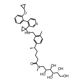 Cc1ccc([C@H](C)CCCC(=O)N(C)C[C@H](O)[C@@H](O)[C@H](O)[C@H](O)CO)cc1CNC1(c2cnccc2-c2ccccc2OC2CC2)CC1